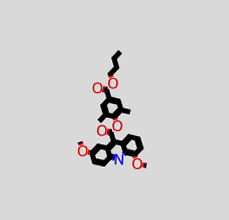 CCCCOC(=O)c1cc(C)c(OC(=O)c2c3cc(OC)ccc3nc3c(OC)cccc23)c(C)c1